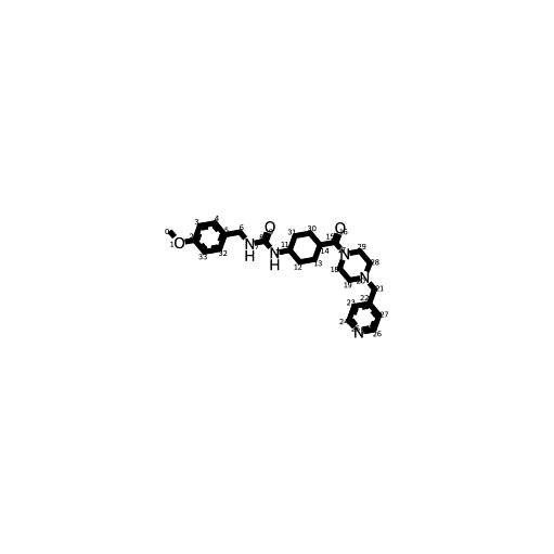 COc1ccc(CNC(=O)NC2CCC(C(=O)N3CCN(Cc4ccncc4)CC3)CC2)cc1